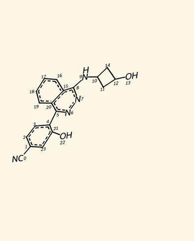 N#Cc1ccc(-c2nnc(NC3CC(O)C3)c3ccccc23)c(O)c1